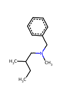 CCC(C)CN(C)Cc1ccccc1